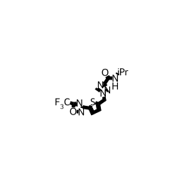 CC(C)NC(=O)c1ncn(Cc2ccc(-c3noc(C(F)(F)F)n3)s2)n1